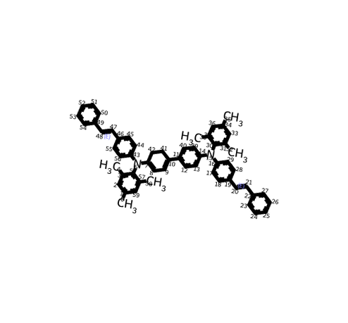 Cc1cc(C)c(N(C2=CC=C(c3ccc(N(c4ccc(/C=C/c5ccccc5)cc4)c4c(C)cc(C)cc4C)cc3)CC2)c2ccc(/C=C/c3ccccc3)cc2)c(C)c1